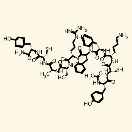 CC(=O)N[C@@H](Cc1ccc(O)cc1)C(=O)N[C@@H](CS)C(=O)N[C@@H](CCCCN)C(=O)N[C@@H](Cc1ccccc1)C(=O)N[C@@H](Cc1ccccc1)C(=O)N[C@@H](CCCNC(=N)N)C(=O)N[C@@H](CO)C(=O)N[C@@H](C)C(=O)N[C@@H](CS)C(=O)N[C@@H](Cc1ccc(O)cc1)C(N)=O